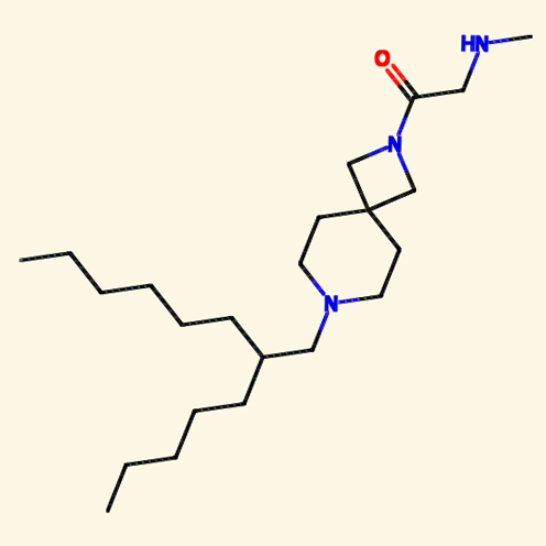 CCCCCCC(CCCCC)CN1CCC2(CC1)CN(C(=O)CNC)C2